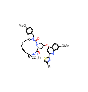 CCOC(=O)C12CC1C=CCCCCN(Cc1ccc(OC)cc1)C(=O)N1CC(Oc3cc(-c4nc(C(C)C)cs4)nc4cc(OC)ccc34)CC1C(=O)N2